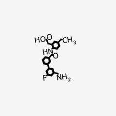 CCc1ccc(NC(=O)c2cccc(-c3cc(F)cc(CN)c3)c2)c(CC(=O)O)c1